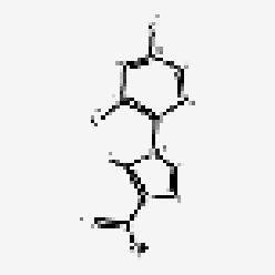 Cc1c(C(=O)O)ccn1-c1ccc(Cl)cc1Cl